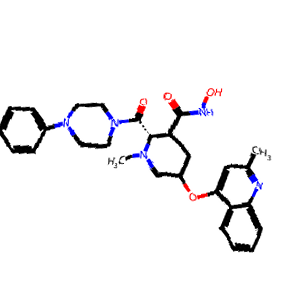 Cc1cc(OC2CC(C(=O)NO)[C@@H](C(=O)N3CCN(c4ccccc4)CC3)N(C)C2)c2ccccc2n1